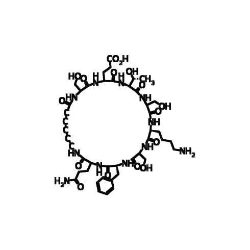 C[C@@H](O)[C@@H]1NC(=O)C(CCC(=O)O)NC(=O)C(CO)NC(=O)CCCCCNC(=O)C(CCC(N)=O)NC(=O)[C@H](Cc2ccccc2)NC(=O)C(CO)NC(=O)[C@H](CCCCN)NC(=O)C(CO)NC1=O